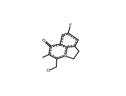 O=c1c(I)c(CCl)n2c3c(cc(F)cc13)CC2